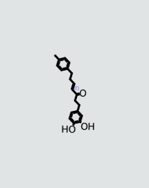 Cc1ccc(CC/C=C/C(=O)CCc2ccc(O)c(O)c2)cc1